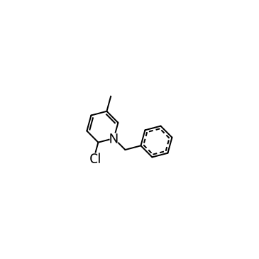 CC1=CN(Cc2ccccc2)C(Cl)C=C1